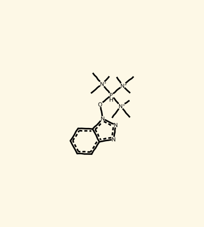 C[N+](C)(C)[PH](On1nnc2ccccc21)([N+](C)(C)C)[N+](C)(C)C